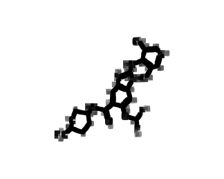 O=C(NC1CCC(C(F)(F)F)CC1)c1cc2nc(Nc3c(Cl)cncc3Cl)[nH]c2cc1OC(F)F